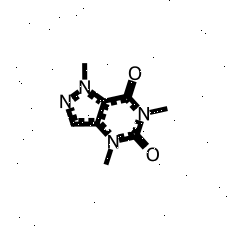 Cn1c(=O)c2c(cnn2C)n(C)c1=O